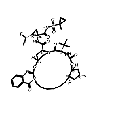 C[C@@H]1C[C@H]2CCCCCCn3c(nc4ccccc4c3=O)O[C@@H]3C[C@@H](C(=O)N[C@]4(C(=O)NS(=O)(=O)C5(C)CC5)C[C@H]4C(F)F)N(C3)C(=O)[C@H](C(C)(C)C)NC(=O)O[C@@H]2C1